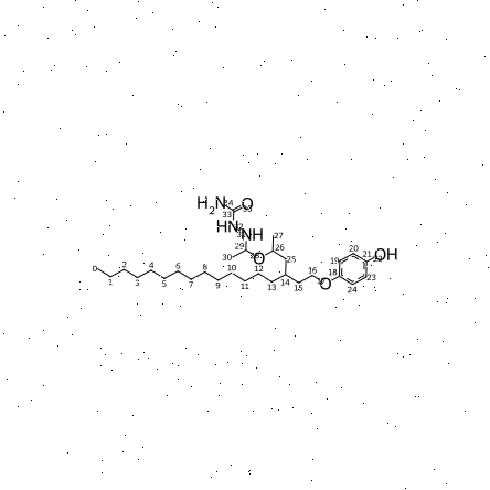 CCCCCCCCCCCCCCC(CCOc1ccc(O)cc1)CC(C)OC(C)NNC(N)=O